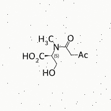 CC(=O)CC(=O)N(C)[C@@H](CO)C(=O)O